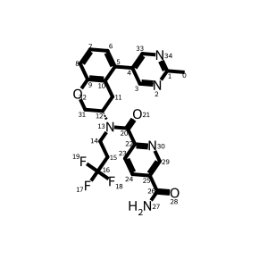 Cc1ncc(-c2cccc3c2C[C@H](N(CCC(F)(F)F)C(=O)c2ccc(C(N)=O)cn2)CO3)cn1